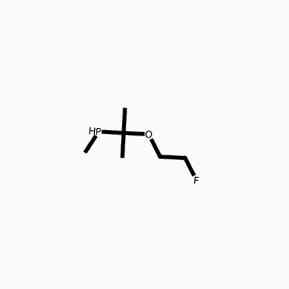 CPC(C)(C)OCCF